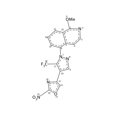 COc1nccc2c(-n3ncc(-c4coc([N+](=O)[O-])n4)c3C(F)(F)F)cccc12